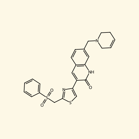 O=c1[nH]c2cc(CN3CC=CCC3)ccc2cc1-c1csc(CS(=O)(=O)c2ccccc2)n1